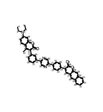 CCN(CC)c1ccc2c(C)c(-c3cccc(-c4cnc(-c5ccc(-c6cc7cc8ccccc8cc7oc6=O)cc5)cn4)c3)c(=O)oc2c1